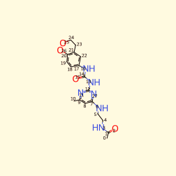 CC(=O)NCCNc1cc(C)nc(NC(=O)Nc2ccc3c(c2)CCOO3)n1